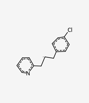 Clc1ccc(C[CH]Cc2ccccn2)cc1